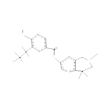 COc1ccc(C(=O)Nc2cnc3c(c2)CN(C)CC3(C)C)cc1C(F)(F)C(F)(F)F